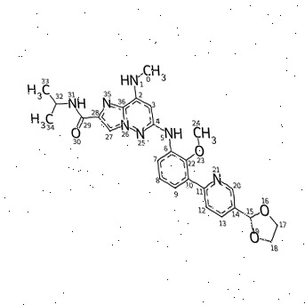 CNc1cc(Nc2cccc(-c3ccc(C4OCCO4)cn3)c2OC)nn2cc(C(=O)NC(C)C)nc12